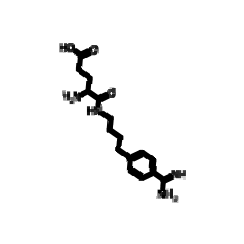 N=C(N)c1ccc(CCCCNC(=O)C(N)CCC(=O)O)cc1